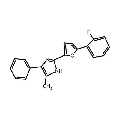 Cc1[nH]c(-c2ccc(-c3ccccc3F)o2)nc1-c1ccccc1